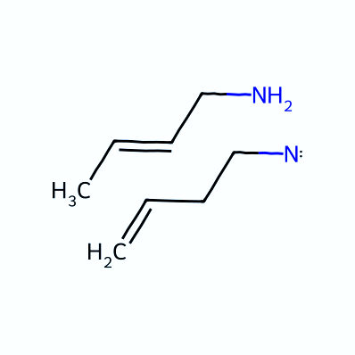 C=CCC[N].CC=CCN